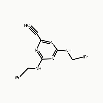 C#Cc1nc(NCC(C)C)nc(NCC(C)C)n1